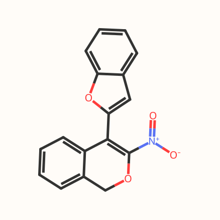 O=[N+]([O-])C1=C(c2cc3ccccc3o2)c2ccccc2CO1